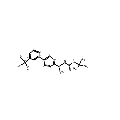 C[C@H](NC(=O)OC(C)(C)C)c1ccc(-c2cccc(C(F)(F)F)c2)cn1